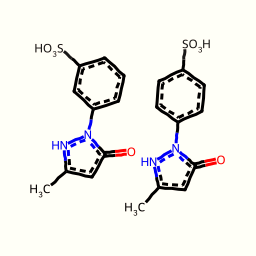 Cc1cc(=O)n(-c2ccc(S(=O)(=O)O)cc2)[nH]1.Cc1cc(=O)n(-c2cccc(S(=O)(=O)O)c2)[nH]1